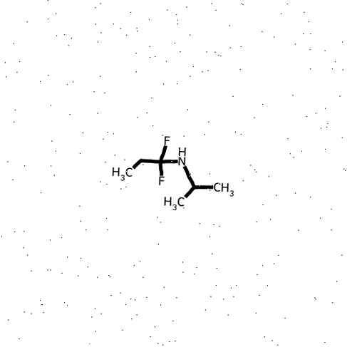 CCC(F)(F)NC(C)C